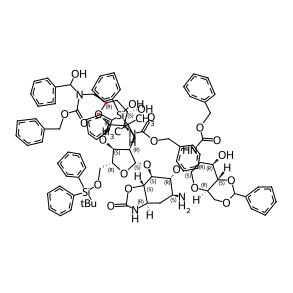 CC(C)(C[C@H]1[C@H](O[C@@H]2[C@H]3OC(=O)N[C@@H]3C[C@H](N)[C@H]2O[C@H]2O[C@@H]3COC(c4ccccc4)O[C@H]3[C@H](O)[C@H]2NC(=O)OCc2ccccc2)O[C@H](CO[Si](c2ccccc2)(c2ccccc2)C(C)(C)C)[C@H]1O[C@H]1O[C@@H](CN(C(=O)OCc2ccccc2)C(O)c2ccccc2)C[C@H](O)[C@H]1NC(=O)OCc1ccccc1)[Si](O)(c1ccccc1)c1ccccc1